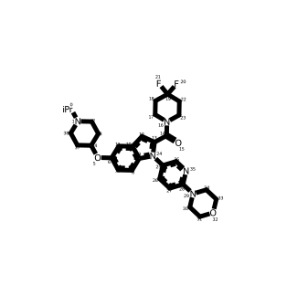 CC(C)N1CCC(Oc2ccc3c(c2)cc(C(=O)N2CCC(F)(F)CC2)n3-c2ccc(N3CCOCC3)nc2)CC1